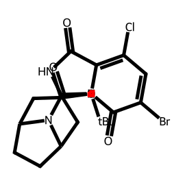 CC(C)(C)OC(=O)N1C2CCC1CC1(C2)NC(=O)c2c(Cl)cc(Br)c(=O)n21